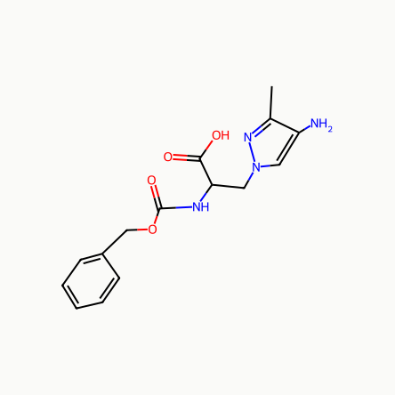 Cc1nn(CC(NC(=O)OCc2ccccc2)C(=O)O)cc1N